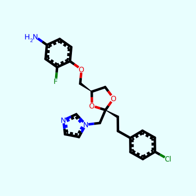 Nc1ccc(OC[C@H]2CO[C@](CCc3ccc(Cl)cc3)(Cn3ccnc3)O2)c(F)c1